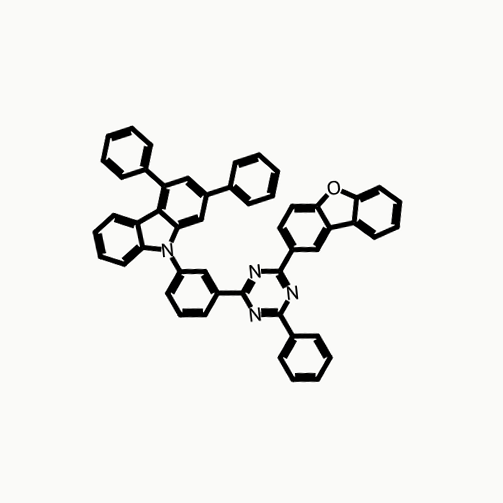 c1ccc(-c2cc(-c3ccccc3)c3c4ccccc4n(-c4cccc(-c5nc(-c6ccccc6)nc(-c6ccc7oc8ccccc8c7c6)n5)c4)c3c2)cc1